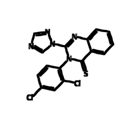 S=c1c2ccccc2nc(-n2cncn2)n1-c1ccc(Cl)cc1Cl